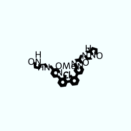 COc1nc(-c2cccc(-c3cccc(-c4ccn5c(=O)c(CN6CCN7C(=O)CC[C@H]7C6)cnc5c4)c3Cl)c2Cl)ccc1CNC[C@H]1CCC(=O)N1